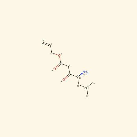 C=CCOC(=O)CC(=O)[C@@H](N)CC(C)C